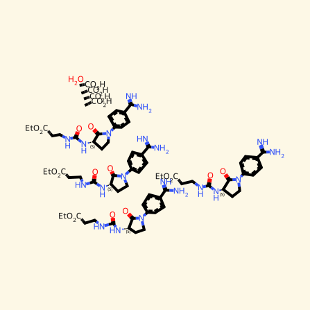 CC(=O)O.CC(=O)O.CC(=O)O.CC(=O)O.CCOC(=O)CCNC(=O)N[C@H]1CCN(c2ccc(C(=N)N)cc2)C1=O.CCOC(=O)CCNC(=O)N[C@H]1CCN(c2ccc(C(=N)N)cc2)C1=O.CCOC(=O)CCNC(=O)N[C@H]1CCN(c2ccc(C(=N)N)cc2)C1=O.CCOC(=O)CCNC(=O)N[C@H]1CCN(c2ccc(C(=N)N)cc2)C1=O.O